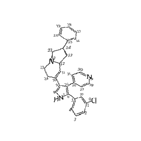 Clc1cccc(-c2[nH]cc(C3=CC4CC(c5ccccc5)CN4CC3)c2-c2ccncc2)c1